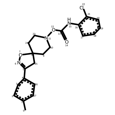 Cc1ccc(C2=NOC3(CCN(OC(=O)Nc4ccccc4Cl)CC3)C2)cc1